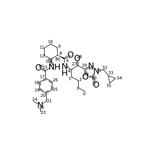 CCCCC(NC(=O)[C@@H]1CCCC[C@@H]1NC(=O)c1ccc(CN(C)C)cc1)C(=O)c1nn(CC2CC2)c(=O)o1